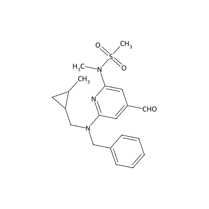 CC1CC1CN(Cc1ccccc1)c1cc(C=O)cc(N(C)S(C)(=O)=O)n1